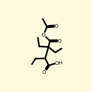 CCC(C(=O)O)C(CC)(CC)C(=O)OC(C)=O